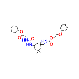 CC1(C)CC(NC(=O)NCC(=O)OC2CCCCC2)CC(C)(CNC(=O)OCCOc2ccccc2)C1